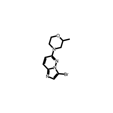 CC1CN(c2ccc3ncc(Br)n3n2)CCO1